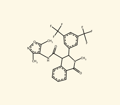 Cc1noc(C)c1NC(=O)C1c2ccccc2C(=O)N(C)C1c1cc(C(F)(F)F)cc(C(F)(F)F)c1